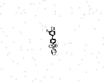 CCc1ccc(-c2ccc(S(=O)(=O)N3CCOCC3)cc2)cc1F